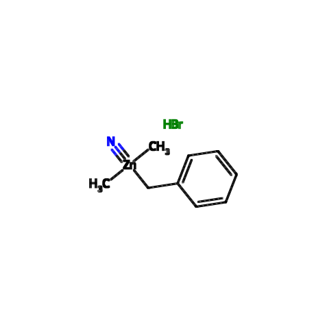 Br.[CH3][Zn]([CH3])(#[N])[CH2]c1ccccc1